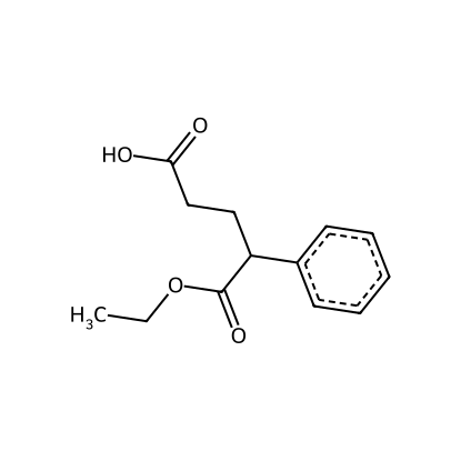 CCOC(=O)C(CCC(=O)O)c1ccccc1